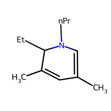 CCCN1C=C(C)C=C(C)C1CC